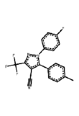 Cc1ccc(-c2c(C#N)c(C(F)(F)F)nn2-c2ccc(F)cc2)cc1